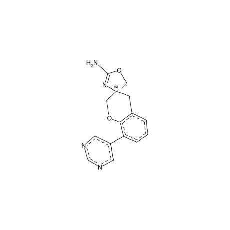 NC1=N[C@]2(CO1)COc1c(cccc1-c1cncnc1)C2